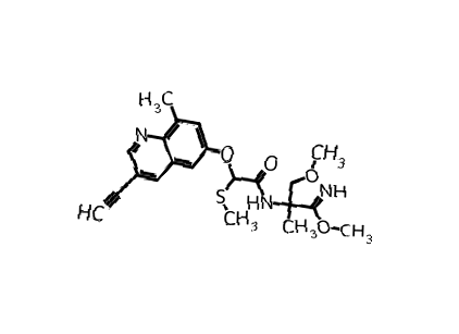 C#Cc1cnc2c(C)cc(OC(SC)C(=O)NC(C)(COC)C(=N)OC)cc2c1